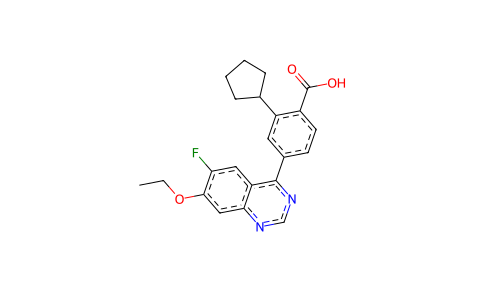 CCOc1cc2ncnc(-c3ccc(C(=O)O)c(C4CCCC4)c3)c2cc1F